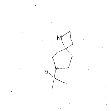 CCC(C)(C)N1CCC2(CCN2)CC1